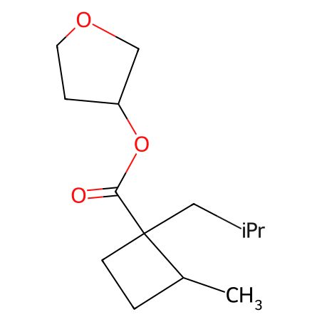 CC(C)CC1(C(=O)OC2CCOC2)CCC1C